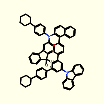 CC1(C)c2ccccc2-c2cc(N(c3ccc(C4CCCCC4)cc3)c3ccc4ccccc4c3-c3ccc(-c4cc(-c5ccc(C6CCCCC6)cc5)cc(-n5c6ccccc6c6ccccc65)c4)cc3)ccc21